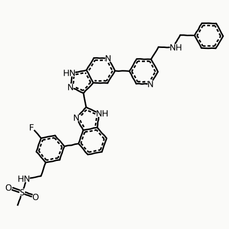 CS(=O)(=O)NCc1cc(F)cc(-c2cccc3[nH]c(-c4n[nH]c5cnc(-c6cncc(CNCc7ccccc7)c6)cc45)nc23)c1